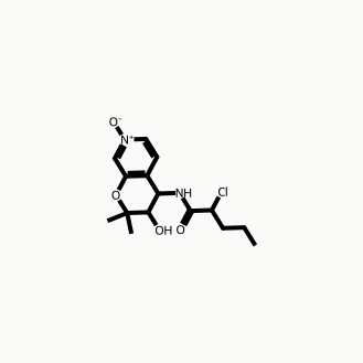 CCCC(Cl)C(=O)NC1c2cc[n+]([O-])cc2OC(C)(C)C1O